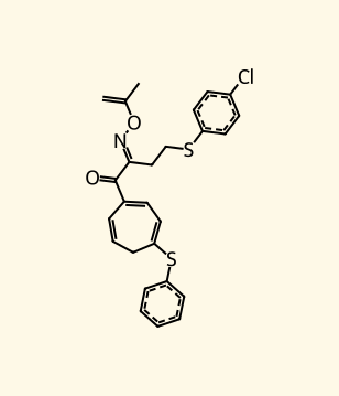 C=C(C)O/N=C(\CCSc1ccc(Cl)cc1)C(=O)C1=CC=C(Sc2ccccc2)CC=C1